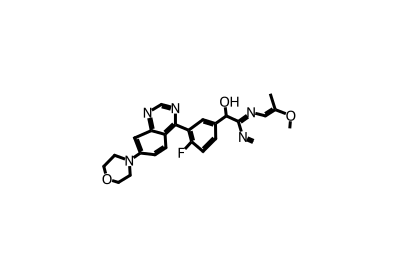 C=N/C(=N\C=C(/C)OC)C(O)c1ccc(F)c(-c2ncnc3cc(N4CCOCC4)ccc23)c1